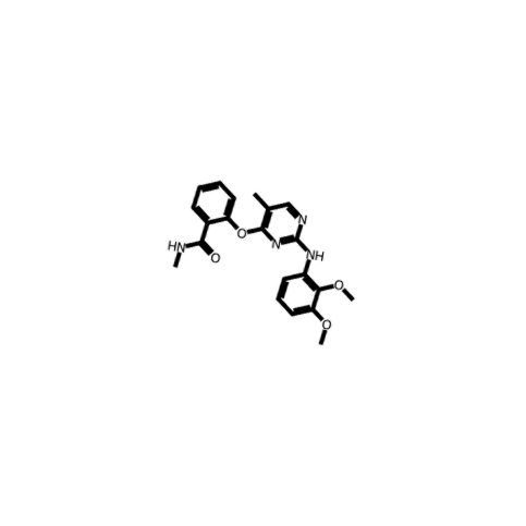 CNC(=O)c1ccccc1Oc1nc(Nc2cccc(OC)c2OC)ncc1C